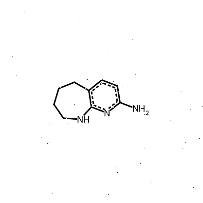 Nc1ccc2c(n1)NCCCC2